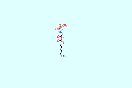 CCCCCCOC(=O)OC(=O)CNCP(=O)(O)O